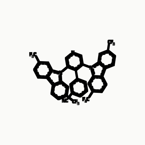 N#Cc1cccc(-c2c(-n3c4cc(C(F)(F)F)ccc4c4ccc(C(F)(F)F)cc43)cncc2-n2c3cc(C(F)(F)F)ccc3c3ccc(C(F)(F)F)cc32)c1